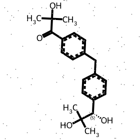 CC(C)(O)C(=O)c1ccc(Cc2ccc([C@H](O)C(C)(C)O)cc2)cc1